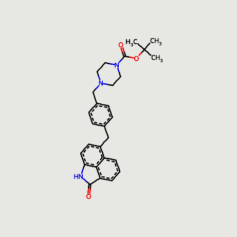 CC(C)(C)OC(=O)N1CCN(Cc2ccc(Cc3ccc4c5c(cccc35)C(=O)N4)cc2)CC1